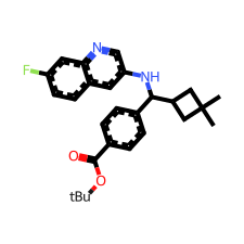 CC1(C)CC(C(Nc2cnc3cc(F)ccc3c2)c2ccc(C(=O)OC(C)(C)C)cc2)C1